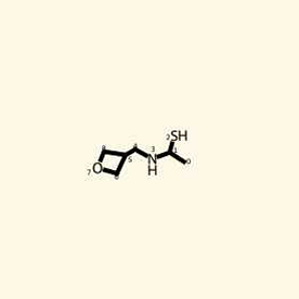 CC(S)NCC1COC1